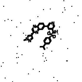 CC(C)c1ccc(S(=O)(=O)Nc2cncc(-c3ccc4ncc(-c5cnn(C)c5)nc4c3)c2)cc1